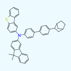 CC1(C)c2ccccc2-c2cc(N(c3ccc(-c4ccc(C5CC6CCC5C6)cc4)cc3)c3ccc4sc5ccccc5c4c3)ccc21